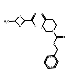 CC1OC(C(=O)N[C@H]2CN(C(=O)OCc3ccccc3)CCC2=O)O1